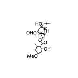 COc1cc(C)c(C(=O)O[C@@H]2C[C@@]3(C)[C@@H]2C(C=O)=C[C@]2(O)CC(C)(C)C[C@H]32)c(O)c1